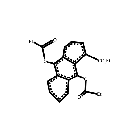 CCOC(=O)c1cccc2c(OC(=O)CC)c3ccccc3c(OC(=O)CC)c12